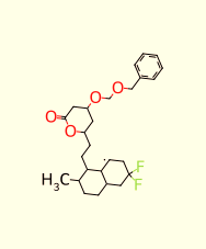 CC1CCC2CC(F)(F)C[CH]C2C1CCC1CC(OCOCc2ccccc2)CC(=O)O1